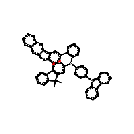 CC1(C)c2ccccc2-c2ccc(N(c3ccc(-n4c5ccccc5c5ccccc54)cc3)c3ccccc3-c3ccc4oc5cc6ccccc6cc5c4c3)cc21